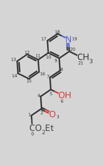 CCOC(=O)CC(=O)CC(O)C=Cc1c(-c2ccccc2)ccnc1C